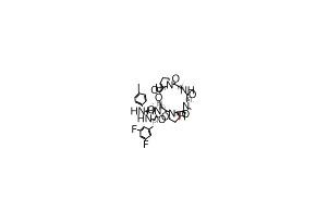 C[C@@H]1NC(=O)[C@H](C)N(C)C(=O)[C@@H]2CCCN2C(=O)[C@@H](NC(=O)[C@H](Cc2cc(F)cc(F)c2)NC(=O)Nc2ccc(I)cc2)[C@H](C)OC(=O)[C@@H]2CCCN2C1=O